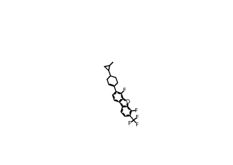 CC1CC1C1CC=C(c2ccc3c(oc4c(F)c(C(F)(F)F)ccc43)c2F)CC1